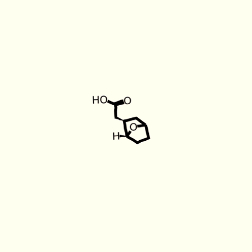 O=C(O)C[C@H]1CC2CC[C@H]1O2